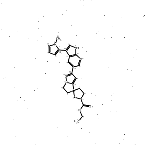 CCNC(=O)N1CCC2(CCn3nc(-c4cnc5[nH]cc(-c6ccnn6C)c5c4)cc32)C1